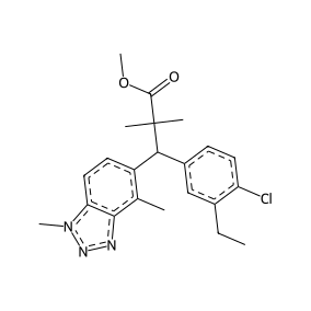 CCc1cc(C(c2ccc3c(nnn3C)c2C)C(C)(C)C(=O)OC)ccc1Cl